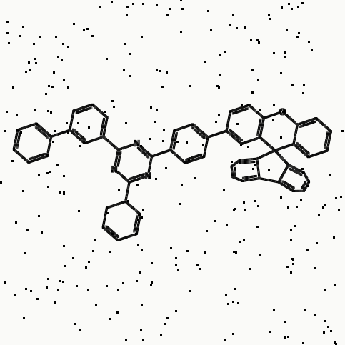 C1=CCC(c2nc(-c3ccc(-c4ccc5c(c4)C4(c6ccccc6O5)c5ccccc5-c5ccccc54)cc3)nc(-c3cccc(-c4ccccc4)c3)n2)C=C1